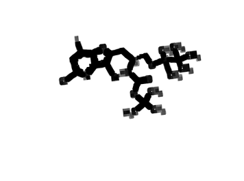 CC(C)(C)OC(=O)N[C@@H](CO[Si](C)(C)C(C)(C)C)Cc1oc2c(I)cc(Cl)nc2c1Br